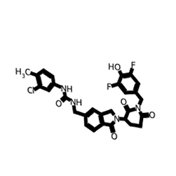 Cc1ccc(NC(=O)NCc2ccc3c(c2)CN(C2CCC(=O)N(Cc4cc(F)c(O)c(F)c4)C2=O)C3=O)cc1Cl